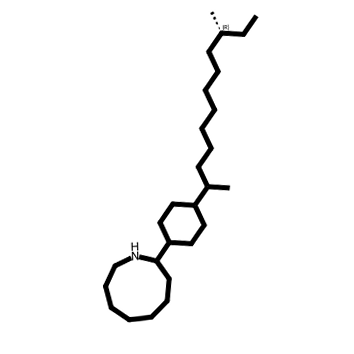 CC[C@@H](C)CCCCCCCC(C)C1CCC(C2CCCCCCCN2)CC1